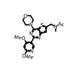 COc1cc(OC)c(-c2nc(N3CCOCC3)c3sc(CN(C)C(C)=O)cc3n2)cn1